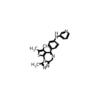 Cc1sc2c(c1C)C(c1ccc(Nc3cccnc3)cc1)=NCc1nnc(C)n1-2